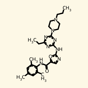 CCCN1CCN(c2nc(CC)nc(Nc3ncc(C(=O)Nc4c(C)cc(C)cc4C)o3)n2)CC1